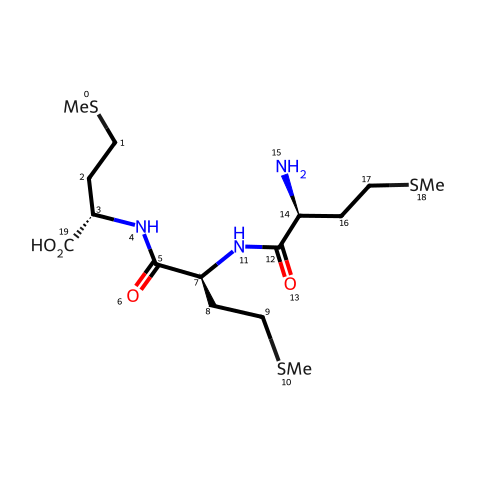 CSCC[C@H](NC(=O)[C@H](CCSC)NC(=O)[C@@H](N)CCSC)C(=O)O